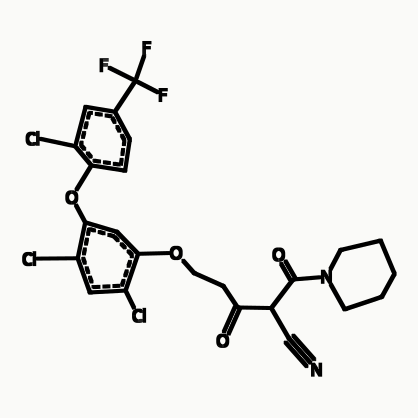 N#CC(C(=O)CCOc1cc(Oc2ccc(C(F)(F)F)cc2Cl)c(Cl)cc1Cl)C(=O)N1CCCCC1